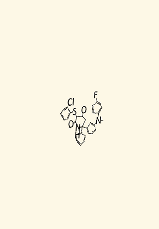 CN(c1ccc(F)cc1)c1cccc(C2(c3ccccc3)CC(=O)C(Sc3ccccc3Cl)C(=O)N2)c1